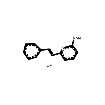 CNc1cccc(C=Cc2ccccc2)n1.Cl